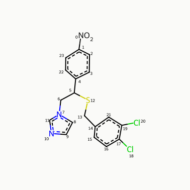 O=[N+]([O-])c1ccc(C(Cn2ccnc2)SCc2ccc(Cl)c(Cl)c2)cc1